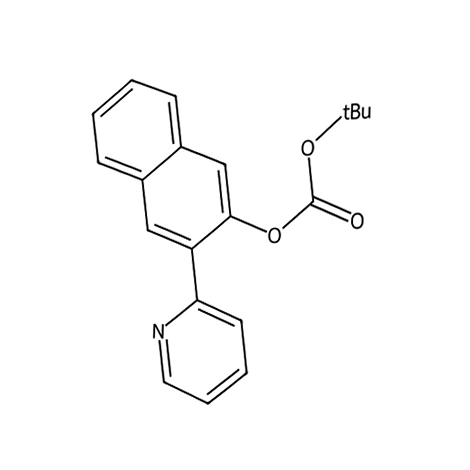 CC(C)(C)OC(=O)Oc1cc2ccccc2cc1-c1ccccn1